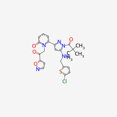 CC(C)(C)C(=O)n1nc(-c2cccc(=O)n2CC(=O)c2ccno2)cc1NCc1ccc(Cl)s1